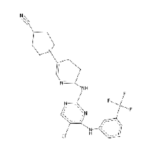 N#CC1CCN(C2=CN=C(Nc3ncc(Cl)c(Nc4cccc(C(F)(F)F)c4)n3)CC2)CC1